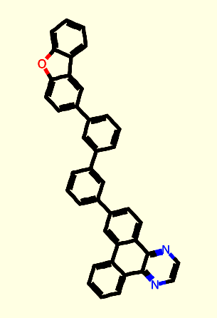 c1cc(-c2cccc(-c3ccc4c(c3)c3ccccc3c3nccnc43)c2)cc(-c2ccc3oc4ccccc4c3c2)c1